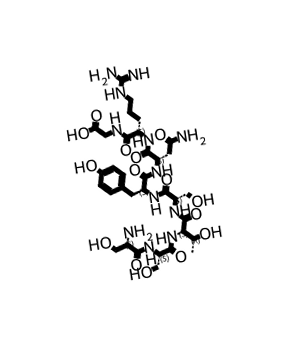 C[C@@H](O)[C@H](NC(=O)[C@H](CO)NC(=O)[C@@H](N)CO)C(=O)N[C@@H](CO)C(=O)N[C@@H](Cc1ccc(O)cc1)C(=O)N[C@@H](CC(N)=O)C(=O)N[C@@H](CCCNC(=N)N)C(=O)NCC(=O)O